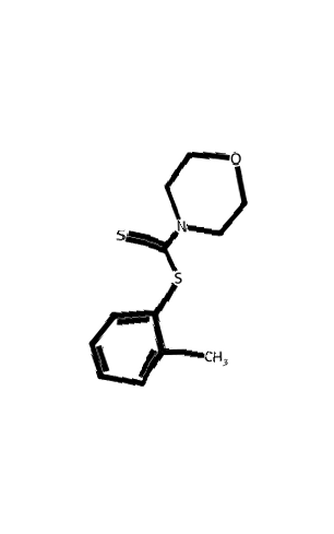 Cc1ccccc1SC(=S)N1CCOCC1